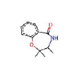 CC1NC(=O)c2ccccc2OC1(C)C